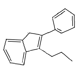 CCCC1=C(c2ccccc2)[CH]c2ccccc21